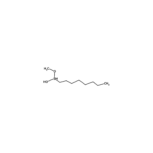 CCCCCCCC[SiH](O)OC